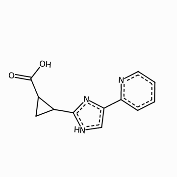 O=C(O)C1CC1c1nc(-c2ccccn2)c[nH]1